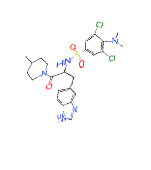 CC1CCN(C(=O)C(Cc2ccc3[nH]cnc3c2)NS(=O)(=O)c2cc(Cl)c(N(C)C)c(Cl)c2)CC1